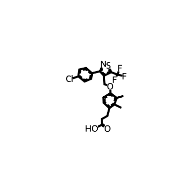 Cc1c(CCC(=O)O)ccc(OCc2c(-c3ccc(Cl)cc3)nsc2C(F)(F)F)c1C